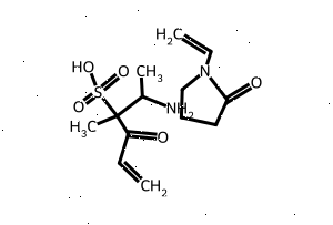 C=CC(=O)C(C)(C(C)N)S(=O)(=O)O.C=CN1CCCC1=O